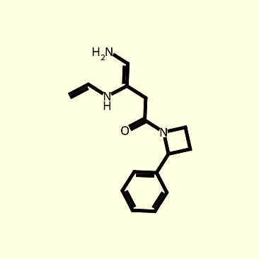 C=CN/C(=C\N)CC(=O)N1CCC1c1ccccc1